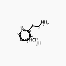 Cl.I.NCCc1ccccn1